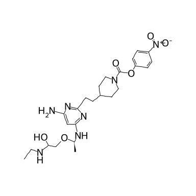 CCNC(O)CO[C@H](C)Nc1cc(N)nc(CCC2CCN(C(=O)Oc3ccc([N+](=O)[O-])cc3)CC2)n1